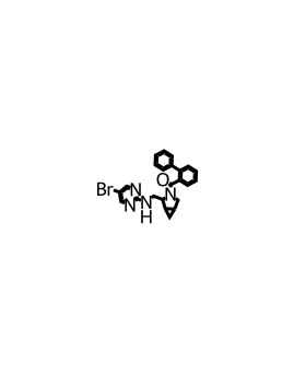 O=C(c1ccccc1-c1ccccc1)N1CC2CC2C1CNc1ncc(Br)cn1